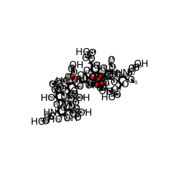 CO[C@@H]1OC(COS(=O)(=O)O)[C@@H](O[C@@H]2OC(OC=O)[C@H](O[C@@H]3OC(COS(=O)(=O)O)[C@@H](O[C@@H]4OC(OC=O)[C@H](O[C@@H]5OC(COS(=O)(=O)O)[C@@H](O[C@@H]6OC(OC=O)[C@H](O[C@@H]7OC(COS(=O)(=O)O)[C@@H](O)[C@H](O)C7NSOOO)[C@@H](O)C6OS(=O)(=O)O)[C@H](O)C5NSOOO)[C@@H](O)C4OS(=O)(=O)O)[C@H](O)C3NSOOO)[C@@H](O)C2OS(=O)(=O)O)[C@H](O)C1NSOOO